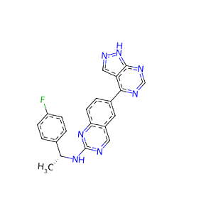 C[C@@H](Nc1ncc2cc(-c3ncnc4[nH]ncc34)ccc2n1)c1ccc(F)cc1